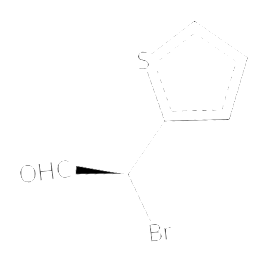 O=C[C@H](Br)c1cccs1